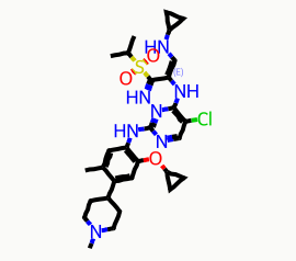 Cc1cc(Nc2ncc(Cl)c(N/C(=C/NC3CC3)C(=N)S(=O)(=O)C(C)C)n2)c(OC2CC2)cc1C1CCN(C)CC1